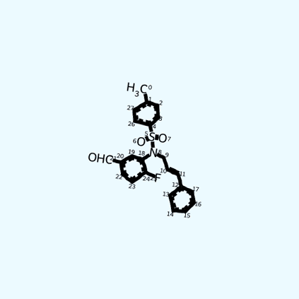 Cc1ccc(S(=O)(=O)N(CC=Cc2ccccc2)c2cc(C=O)ccc2F)cc1